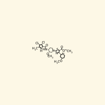 CCOC(=O)c1sc(N2CC[C@@H](NC(=O)c3[nH]c(C)c(Cl)c3Cl)[C@@H](OC)C2)nc1-c1cc(OC)ccn1